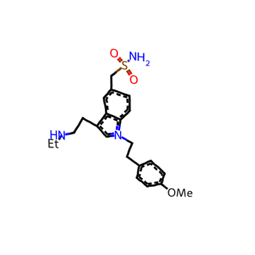 CCNCCc1cn(CCc2ccc(OC)cc2)c2ccc(CS(N)(=O)=O)cc12